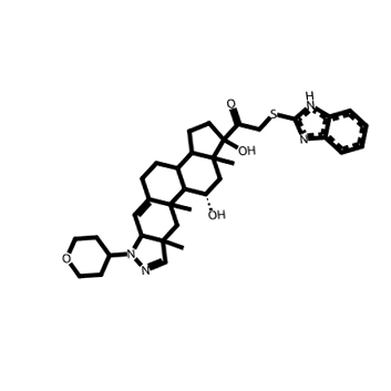 CC12C=NN(C3CCOCC3)C1C=C1CCC3C([C@@H](O)CC4(C)C3CCC4(O)C(=O)CSc3nc4ccccc4[nH]3)C1(C)C2